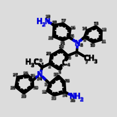 CC(c1ccc(C(C)N(c2ccccc2)c2ccc(N)cc2)cc1)N(c1ccccc1)c1ccc(N)cc1